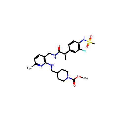 CC(C(=O)NCc1ccc(C(F)(F)F)nc1NCC1CCN(C(=O)OC(C)(C)C)CC1)c1ccc(NS(C)(=O)=O)c(F)c1